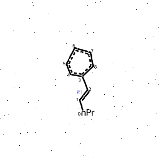 CCC/C=C/c1ccccc1